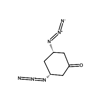 [N-]=[N+]=N[C@@H]1CC(=O)C[C@H](N=[N+]=[N-])C1